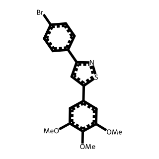 COc1cc(-c2cc(-c3ccc(Br)cc3)ns2)cc(OC)c1OC